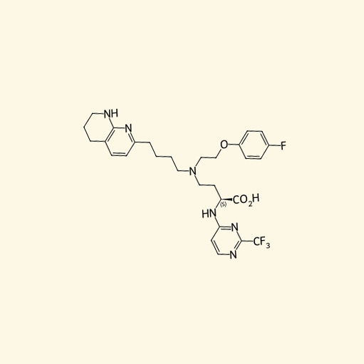 O=C(O)[C@H](CCN(CCCCc1ccc2c(n1)NCCC2)CCOc1ccc(F)cc1)Nc1ccnc(C(F)(F)F)n1